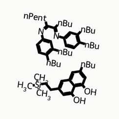 CCCCCC(=Nc1ccc(CCCC)c(CCCC)c1)C(CCCC)=Nc1ccc(CCCC)c(CCCC)c1.CCCCc1cc(O)c2c(O)cc(CC[Si](C)(C)C)cc2c1